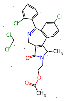 CC(=O)OCCN1C(=O)C2=C(c3ccc(Cl)cc3C(c3ccccc3Cl)=NC2)C1C.ClCCl